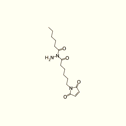 CCCCCC(=O)N(N)C(=O)CCCCCN1C(=O)C=CC1=O